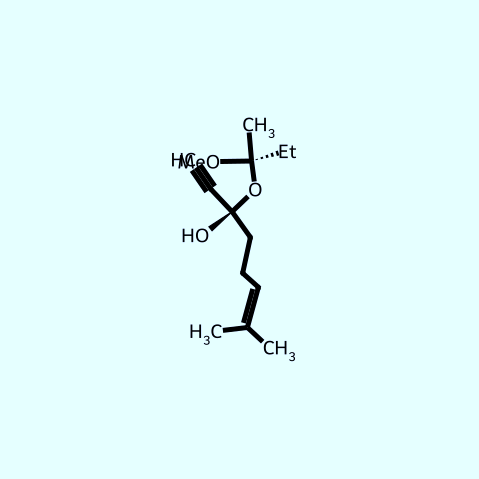 C#C[C@@](O)(CCC=C(C)C)O[C@@](C)(CC)OC